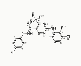 O=C(NCc1ccc(F)cc1)c1cnc(Nc2cccc(Cl)c2F)nc1C(F)(F)F